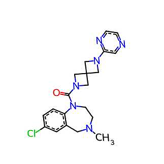 CN1CCN(C(=O)N2CC3(C2)CN(c2cnccn2)C3)c2ccc(Cl)cc2C1